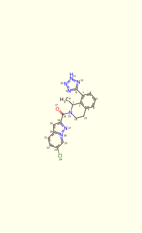 CC1c2c(cccc2-c2nn[nH]n2)CCN1C(=O)c1cc2ccc(Cl)cn2n1